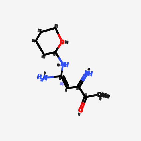 COC(=O)C(=N)/C=C(/N)NC1CCCCO1